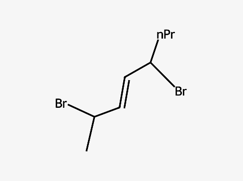 CCCC(Br)C=CC(C)Br